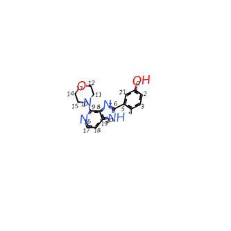 Oc1cccc(-c2nc3c(N4CCOCC4)nccc3[nH]2)c1